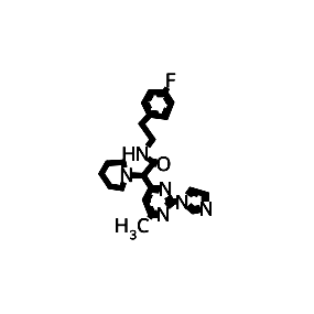 Cc1cc(C(C(=O)NCCc2ccc(F)cc2)N2CCCCC2)nc(-n2ccnc2)n1